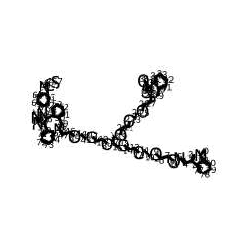 Cn1cc(/C=N/OCCOCCOCCOCC(COCCOCCOCCSCc2ccccc2[N+](=O)[O-])OCCOCCOCCN2Cc3ccccc3C3C(N=NN3c3ccc(N=C=S)cc3)c3ccccc32)c2ccccc21